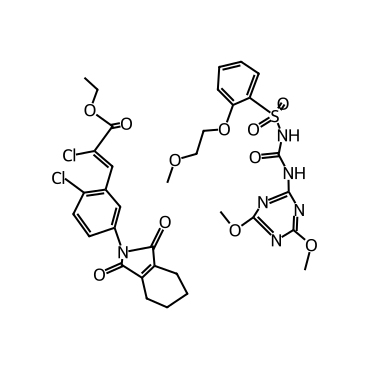 CCOC(=O)/C(Cl)=C/c1cc(N2C(=O)C3=C(CCCC3)C2=O)ccc1Cl.COCCOc1ccccc1S(=O)(=O)NC(=O)Nc1nc(OC)nc(OC)n1